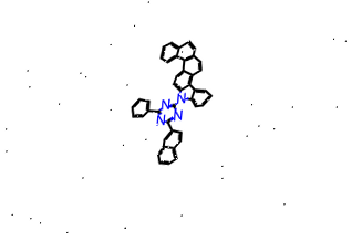 c1ccc(-c2nc(-c3ccc4ccccc4c3)nc(-n3c4ccccc4c4c5ccc6ccc7ccccc7c6c5ccc43)n2)cc1